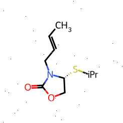 C/C=C/CN1C(=O)OC[C@H]1SC(C)C